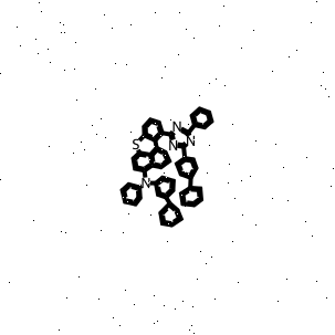 c1ccc(-c2ccc(-c3nc(-c4ccccc4)nc(-c4cccc5c4-c4cccc6c(N(c7ccccc7)c7cccc(-c8ccccc8)c7)ccc(c46)S5)n3)cc2)cc1